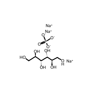 O=P([O-])([O-])[O-].OC[C@@H](O)[C@@H](O)[C@H](O)[C@H](O)CO.[Na+].[Na+].[Na+]